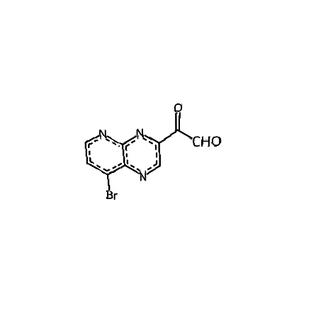 O=CC(=O)c1cnc2c(Br)ccnc2n1